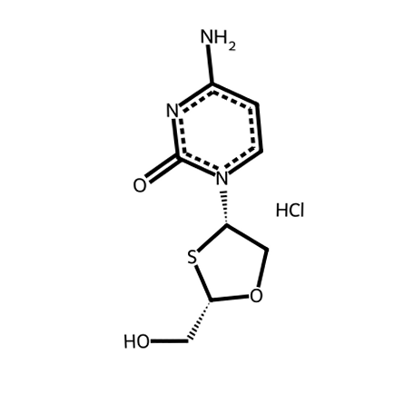 Cl.Nc1ccn([C@@H]2CO[C@H](CO)S2)c(=O)n1